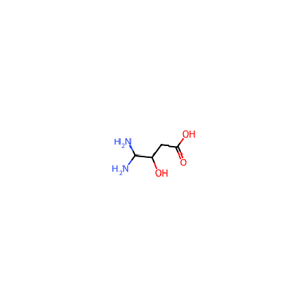 NC(N)C(O)CC(=O)O